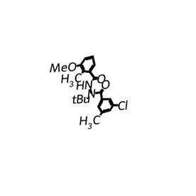 COc1cccc(C(=O)NN(C(=O)c2cc(C)cc(Cl)c2)C(C)(C)C)c1C